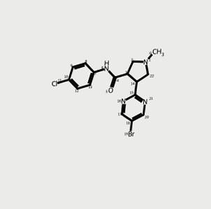 CN1CC(C(=O)Nc2ccc(Cl)cc2)C(c2ncc(Br)cn2)C1